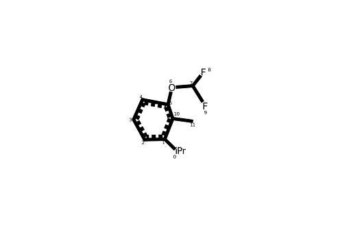 [CH2]C(C)c1cccc(OC(F)F)c1C